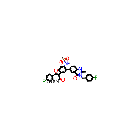 CNC(=O)c1c(-c2ccc(F)cc2)oc2cc(N(C)S(C)(=O)=O)c(-c3ccc4nc(C)n(Cc5ccc(F)cc5)c(=O)c4c3)cc12